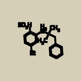 CCc1ccc(S(=O)(=O)O)c([SiH2]C(C)(C)Cc2ccccc2)c1